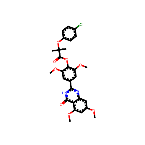 COc1cc(OC)c2c(=O)[nH]c(-c3cc(OC)c(OC(=O)C(C)(C)Oc4ccc(Cl)cc4)c(OC)c3)nc2c1